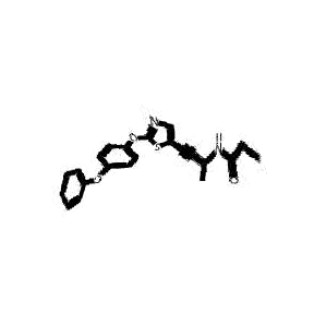 CCC(=O)NC(C)C#Cc1cnc(Oc2ccc(Oc3ccccc3)cc2)s1